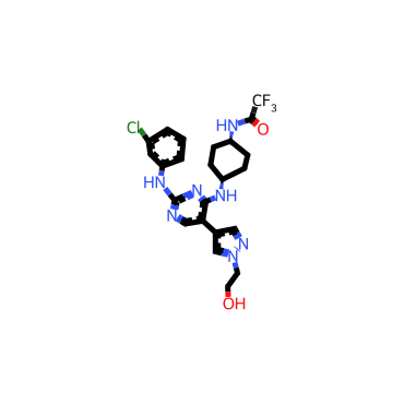 O=C(N[C@H]1CC[C@@H](Nc2nc(Nc3cccc(Cl)c3)ncc2-c2cnn(CCO)c2)CC1)C(F)(F)F